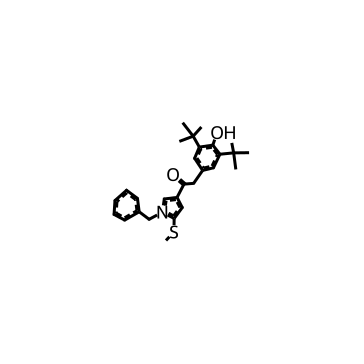 CSc1cc(C(=O)Cc2cc(C(C)(C)C)c(O)c(C(C)(C)C)c2)cn1Cc1ccccc1